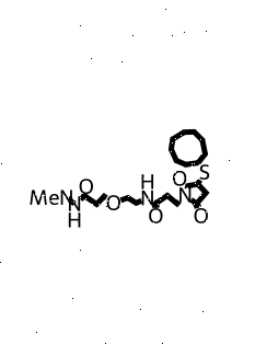 CNNC(=O)CCOCCNC(=O)CCN1C(=O)CC(SC2CCCCCCCC2)C1=O